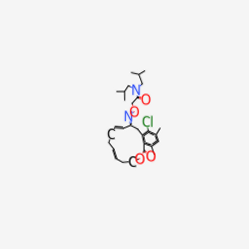 Cc1cc(C)c2c(c1Cl)CC(=N\OCC(=O)N(CC(C)C)CC(C)C)/C=C/CC/C=C/CCOC2=O